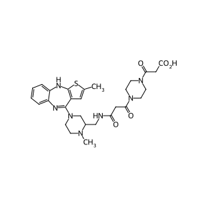 Cc1cc2c(s1)Nc1ccccc1N=C2N1CCN(C)C(CNC(=O)CC(=O)N2CCN(C(=O)CC(=O)O)CC2)C1